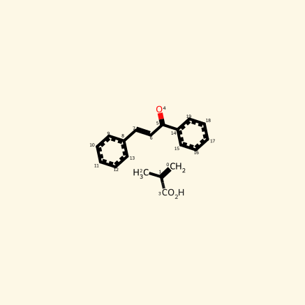 C=C(C)C(=O)O.O=C(C=Cc1ccccc1)c1ccccc1